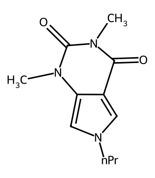 CCCn1cc2c(=O)n(C)c(=O)n(C)c2c1